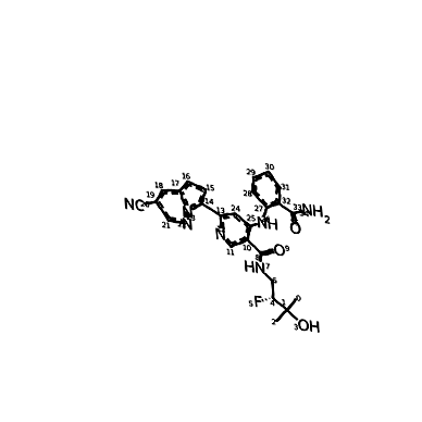 CC(C)(O)[C@H](F)CNC(=O)c1cnc(-c2ccc3cc(C#N)cnn23)cc1Nc1ccccc1C(N)=O